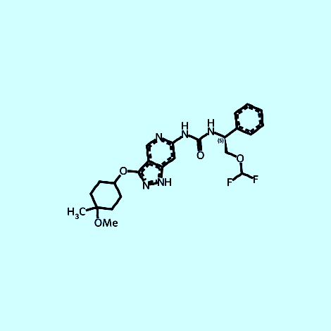 COC1(C)CCC(Oc2n[nH]c3cc(NC(=O)N[C@H](COC(F)F)c4ccccc4)ncc23)CC1